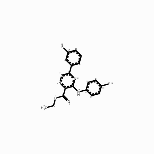 CCOC(=O)c1nnc(-c2cccc(F)c2)nc1Nc1ccc(F)cc1